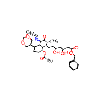 CCC(C)C(=O)OC1CCC(C2COCOC2)C2C(=NOC)C(=O)C(C)C(CCC(O)CC(O)CC(=O)OCc3ccccc3)C12